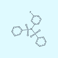 O=S(=O)(c1ccccc1)N(c1cccc(F)c1)S(=O)(=O)c1ccccc1